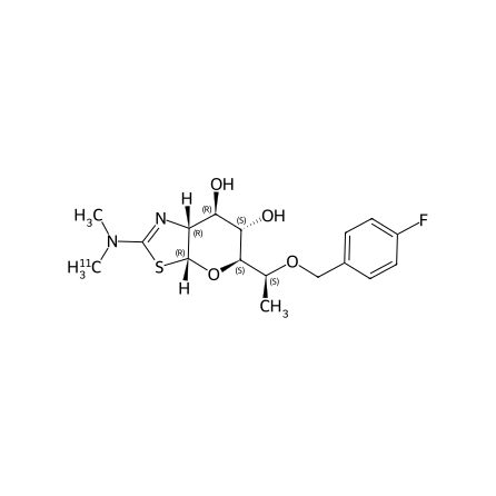 C[C@H](OCc1ccc(F)cc1)[C@H]1O[C@@H]2SC(N(C)[11CH3])=N[C@@H]2[C@@H](O)[C@@H]1O